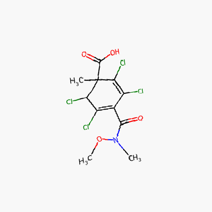 CON(C)C(=O)C1=C(Cl)C(Cl)C(C)(C(=O)O)C(Cl)=C1Cl